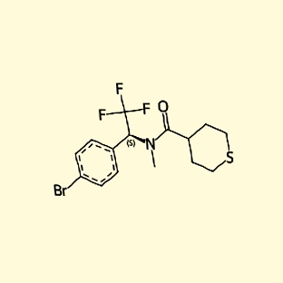 CN(C(=O)C1CCSCC1)[C@@H](c1ccc(Br)cc1)C(F)(F)F